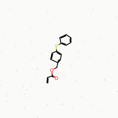 C=CC(=O)OCc1ccc(Sc2ccccc2)cc1